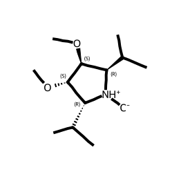 [CH2-][NH+]1[C@H](C(C)C)[C@H](OC)[C@@H](OC)[C@H]1C(C)C